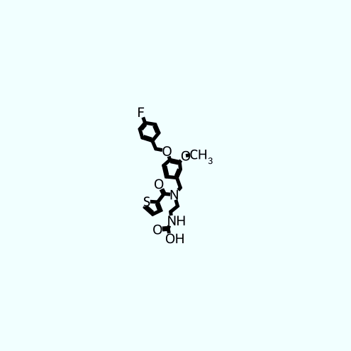 COc1cc(CN(CCNC(=O)O)C(=O)c2cccs2)ccc1OCc1ccc(F)cc1